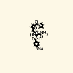 CC(C)(C)c1ccc(C(=O)Nc2[nH]c(Cc3ccc(C(=O)N4CCCC4)o3)nc2C(N)=O)cc1